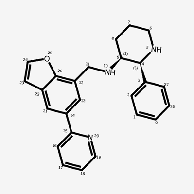 c1ccc([C@@H]2NCCC[C@@H]2NCc2cc(-c3ccccn3)cc3ccoc23)cc1